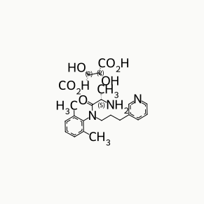 Cc1cccc(C)c1N(CCCc1cccnc1)C(=O)[C@H](C)N.O=C(O)[C@H](O)[C@@H](O)C(=O)O